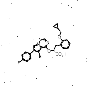 O=C(O)[C@@H](Cc1ccccc1OCC1CC1)Oc1ncnn2cc(-c3ccc(F)cc3)c(Br)c12